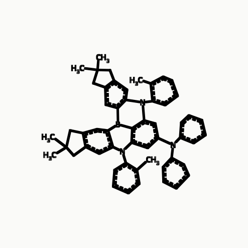 Cc1ccccc1N1c2cc3c(cc2B2c4cc5c(cc4N(c4ccccc4C)c4cc(N(c6ccccc6)c6ccccc6)cc1c42)CC(C)(C)C5)CC(C)(C)C3